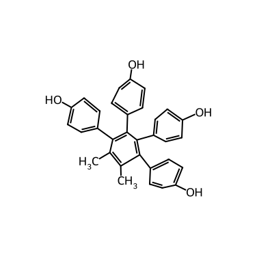 Cc1c(C)c(-c2ccc(O)cc2)c(-c2ccc(O)cc2)c(-c2ccc(O)cc2)c1-c1ccc(O)cc1